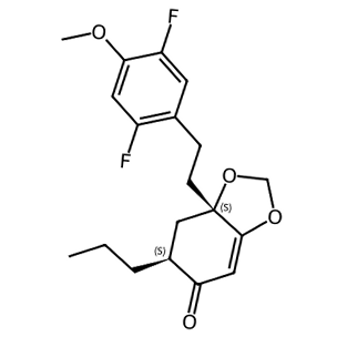 CCC[C@H]1C[C@]2(CCc3cc(F)c(OC)cc3F)OCOC2=CC1=O